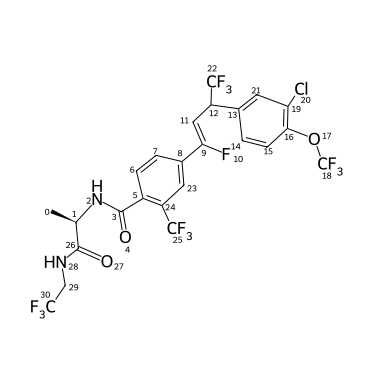 C[C@@H](NC(=O)c1ccc(/C(F)=C/C(c2ccc(OC(F)(F)F)c(Cl)c2)C(F)(F)F)cc1C(F)(F)F)C(=O)NCC(F)(F)F